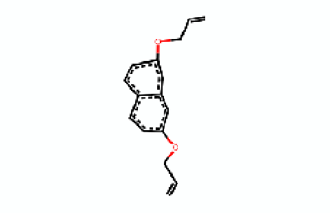 C=CCOc1ccc2ccc(OCC=C)cc2c1